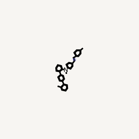 Cc1ccc(/C=C/c2ccc(N(C)c3ccccc3-c3ccc(-c4ccccc4C)cc3)cc2)cc1